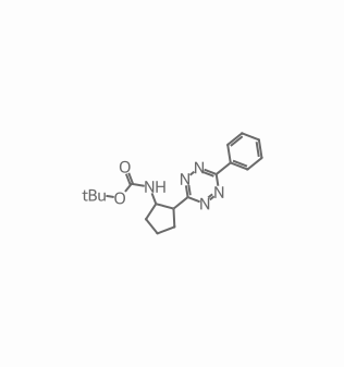 CC(C)(C)OC(=O)NC1CCCC1c1nnc(-c2ccccc2)nn1